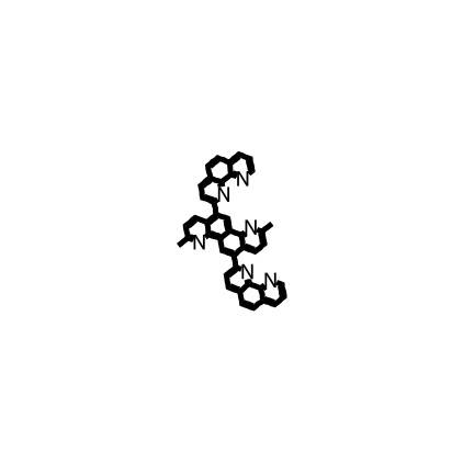 Cc1ccc2c(-c3ccc4ccc5cccnc5c4n3)cc3c(cc(-c4ccc5ccc6cccnc6c5n4)c4ccc(C)nc43)c2n1